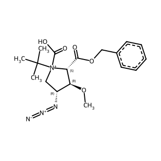 CO[C@@H]1[C@@H](C(=O)OCc2ccccc2)[N+](C(=O)O)(C(C)(C)C)C[C@H]1N=[N+]=[N-]